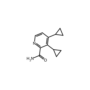 NC(=O)c1nccc(C2CC2)c1C1CC1